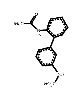 COC(=O)Nc1ccccc1-c1cccc(NC(=O)O)c1